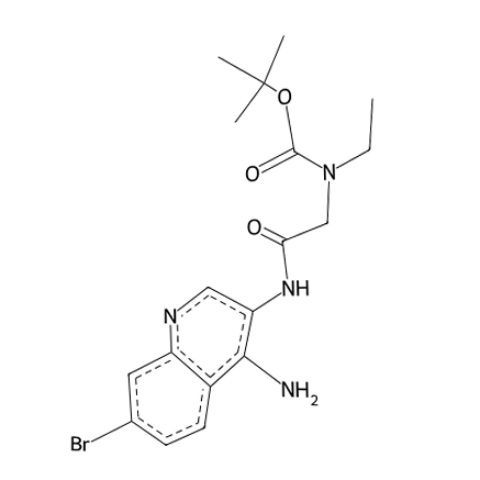 CCN(CC(=O)Nc1cnc2cc(Br)ccc2c1N)C(=O)OC(C)(C)C